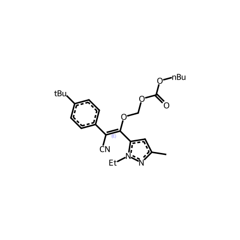 CCCCOC(=O)OCO/C(=C(/C#N)c1ccc(C(C)(C)C)cc1)c1cc(C)nn1CC